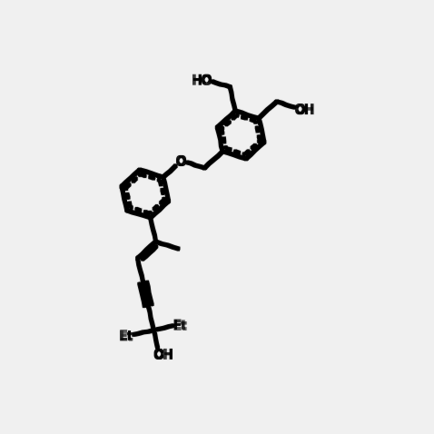 CCC(O)(C#C/C=C(\C)c1cccc(OCc2ccc(CO)c(CO)c2)c1)CC